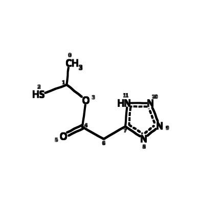 CC(S)OC(=O)Cc1nnn[nH]1